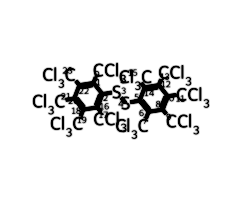 ClC(Cl)(Cl)c1c(SSc2c(C(Cl)(Cl)Cl)c(C(Cl)(Cl)Cl)c(C(Cl)(Cl)Cl)c(C(Cl)(Cl)Cl)c2C(Cl)(Cl)Cl)c(C(Cl)(Cl)Cl)c(C(Cl)(Cl)Cl)c(C(Cl)(Cl)Cl)c1C(Cl)(Cl)Cl